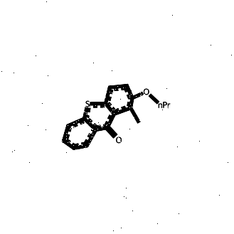 CCCOc1ccc2sc3ccccc3c(=O)c2c1C